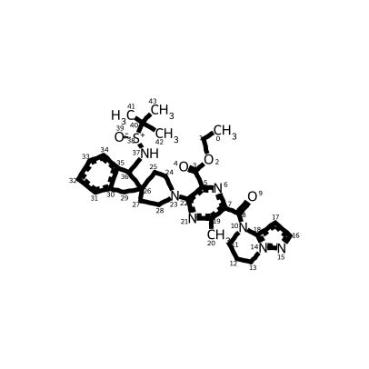 CCOC(=O)c1nc(C(=O)N2CCCn3nccc32)c(C)nc1N1CCC2(CC1)Cc1ccccc1C2N[S@+]([O-])C(C)(C)C